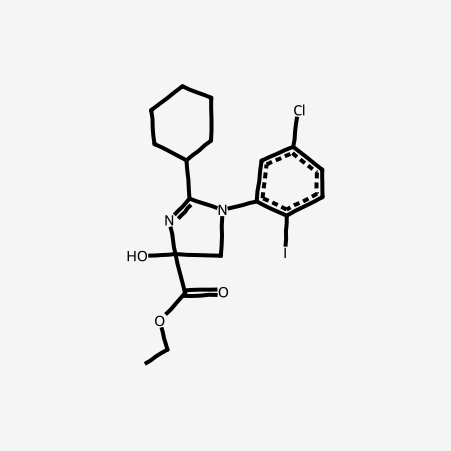 CCOC(=O)C1(O)CN(c2cc(Cl)ccc2I)C(C2CCCCC2)=N1